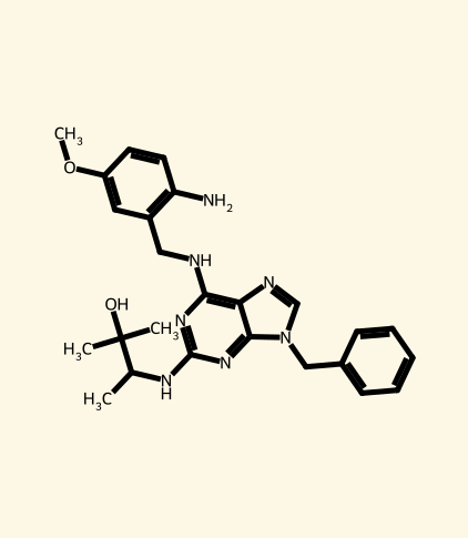 COc1ccc(N)c(CNc2nc(NC(C)C(C)(C)O)nc3c2ncn3Cc2ccccc2)c1